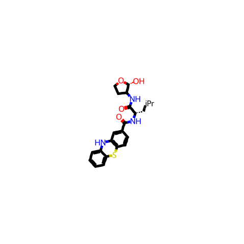 CC(C)C[C@H](NC(=O)c1ccc2c(c1)Nc1ccccc1S2)C(=O)NC1CCO[C@@H]1O